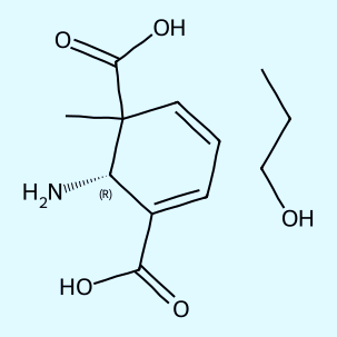 CC1(C(=O)O)C=CC=C(C(=O)O)[C@@H]1N.CCCO